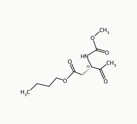 CCCCOC(=O)C[C@H](NC(=O)OC)C(C)=O